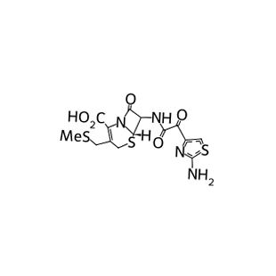 CSCC1=C(C(=O)O)N2C(=O)C(NC(=O)C(=O)c3csc(N)n3)[C@@H]2SC1